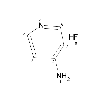 F.Nc1ccncc1